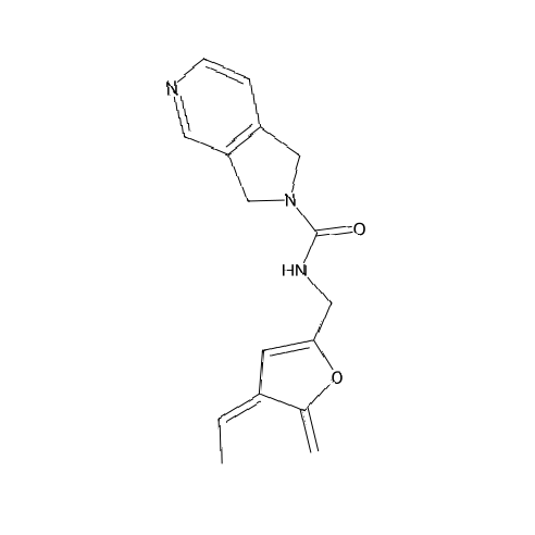 C=c1oc(CNC(=O)N2Cc3ccncc3C2)c/c1=C/C